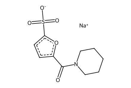 O=C(c1ccc(S(=O)(=O)[O-])o1)N1CCCCC1.[Na+]